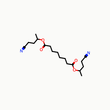 CC(CCC#N)OC(=O)CCCCCCC(=O)OC(C)CCC#N